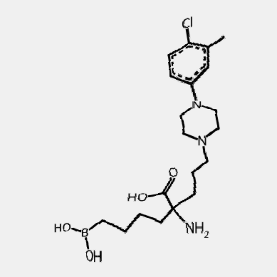 Cc1cc(N2CCN(CCCC(N)(CCCCB(O)O)C(=O)O)CC2)ccc1Cl